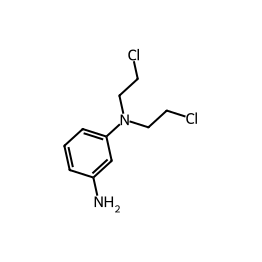 Nc1cccc(N(CCCl)CCCl)c1